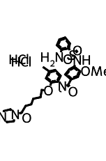 COc1cc(C(=O)N(C)c2ccc(C)cc2OCCCCCC(=O)N2CCN(C)CC2)ccc1NS(=O)(=O)c1ccccc1N.Cl.Cl